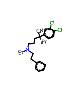 CCN(CCCC(C#N)(c1ccc(Cl)c(Cl)c1)C(C)C)CCc1ccccc1